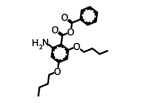 CCCCOc1cc(N)c(C(=O)OC(=O)c2ccccc2)c(OCCCC)c1